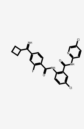 N=C(c1ccc(C(=O)Nc2ccc(Cl)cc2C(=O)Nc2ccc(Cl)cn2)c(F)c1)C1CCC1